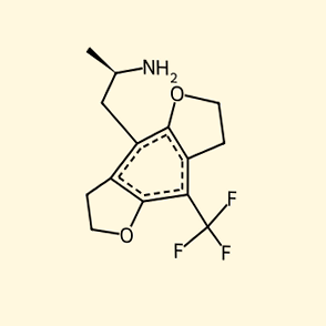 C[C@@H](N)Cc1c2c(c(C(F)(F)F)c3c1OCC3)OCC2